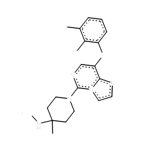 CC1(NC(=O)O)CCN(c2ncc(Sc3cccc(Cl)c3Cl)c3nccn23)CC1